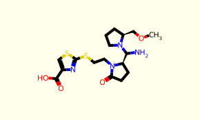 COC[C@@H]1CCCN1C(N)[C@H]1CCC(=O)N1CCSc1nc(C(=O)O)cs1